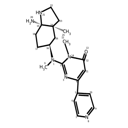 CN(c1nc(-c2ccncc2)cc(=O)n1C)[C@H]1CC[C@@]2(N)NCC[C@@]2(C)C1